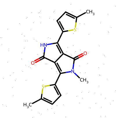 Cc1ccc(C2=C3C(=O)N(C)C(c4ccc(C)s4)=C3C(=O)N2)s1